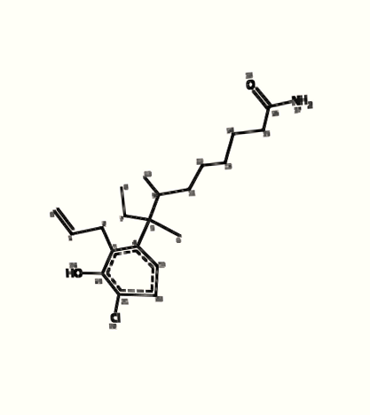 C=CCc1c(C(C)(CC)C(C)CCCCCC(N)=O)ccc(Cl)c1O